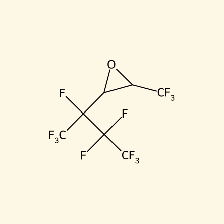 FC(F)(F)C1OC1C(F)(C(F)(F)F)C(F)(F)C(F)(F)F